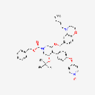 COCCCN1CCOc2ccc(COC3CN(C(=O)OCc4ccccc4)CC(O[Si](C(C)C)(C(C)C)C(C)C)C3c3ccc(Oc4cc[n+]([O-])cc4)cc3)cc21